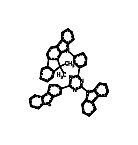 CC1(C)c2ccccc2-c2ccc3c4ccccc4n(-c4cccc(-c5nc(-c6ccc7c(c6)sc6ccccc67)nc(-n6c7ccccc7c7ccccc76)n5)c4)c3c21